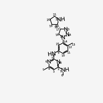 CNc1cc(C)nc(Nc2ccc(C)c(N3CC([C@@H]4CCCN4)N=N3)c2)n1